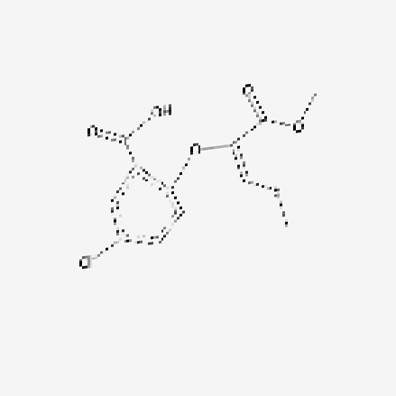 COC(=O)C(=CSC)Oc1ccc(Cl)cc1C(=O)O